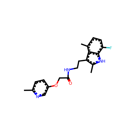 Cc1ccc(OCC(=O)NCCc2c(C)[nH]c3c(F)ccc(C)c23)cn1